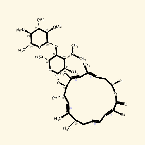 CC/C1=C\C=C\C[C@H](C)/C(C)=C/[C@H](CC)[C@@H](O[C@@H]2O[C@H](C)[C@@H](O[C@@H]3O[C@H](C)[C@@H](OC)[C@H](OC(C)=O)[C@H]3OC)[C@H](N(C)C)[C@H]2C)/C(C)=C/C(C)=C/C[C@@H](C(C)C)OC1=O